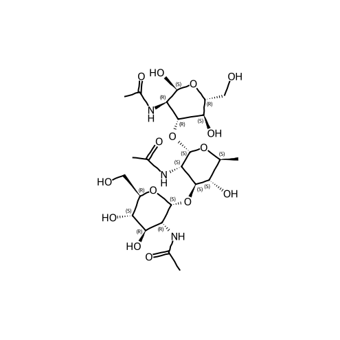 CC(=O)N[C@@H]1[C@H](O[C@H]2[C@H](O)[C@@H](CO)O[C@H](O)[C@@H]2NC(C)=O)O[C@@H](C)[C@H](O)[C@H]1O[C@H]1O[C@H](CO)[C@@H](O)[C@H](O)[C@H]1NC(C)=O